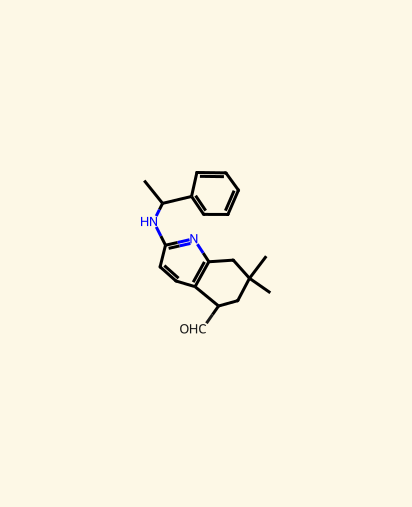 CC(Nc1ccc2c(n1)CC(C)(C)CC2C=O)c1ccccc1